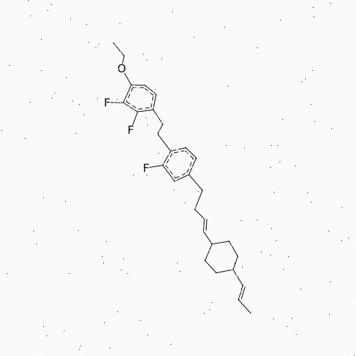 C/C=C/C1CCC(/C=C/CCc2ccc(CCc3ccc(OCC)c(F)c3F)c(F)c2)CC1